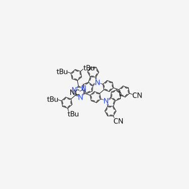 CC(C)(C)c1cc(-c2nc(-c3cc(C(C)(C)C)cc(C(C)(C)C)c3)nc(-c3ccc(-n4c5ccccc5c5cc(C#N)ccc54)c(-c4cc(-c5ccc(C#N)cc5)ccc4-n4c5ccccc5c5cc(C#N)ccc54)c3)n2)cc(C(C)(C)C)c1